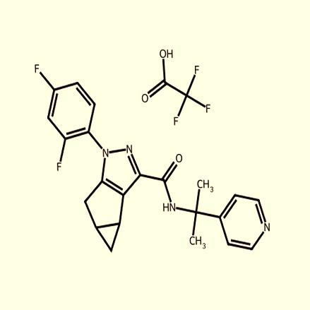 CC(C)(NC(=O)c1nn(-c2ccc(F)cc2F)c2c1C1CC1C2)c1ccncc1.O=C(O)C(F)(F)F